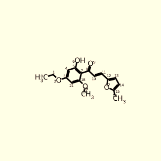 CCOc1cc(O)c(C(=O)C=Cc2ccc(C)o2)c(OC)c1